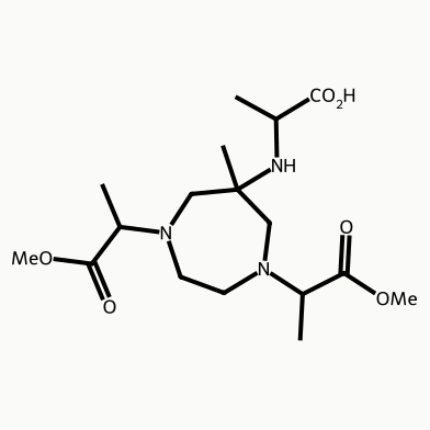 COC(=O)C(C)N1CCN(C(C)C(=O)OC)CC(C)(NC(C)C(=O)O)C1